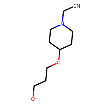 N#CCN1CCC(OCCC[O])CC1